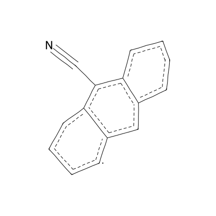 N#Cc1c2ccc[c]c2cc2ccccc12